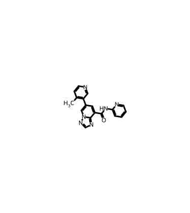 Cc1ccncc1-c1cc(C(=O)Nc2ccccn2)c2ncnn2c1